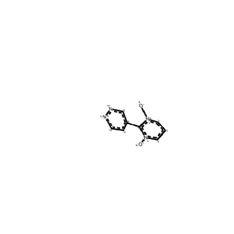 [O-][n+]1ccc[n+]([O-])c1-c1[c]nncc1